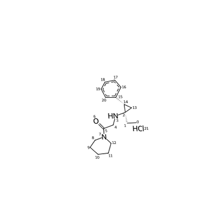 CC[C@@]1(NCC(=O)N2CCCCC2)C[C@H]1c1ccccc1.Cl